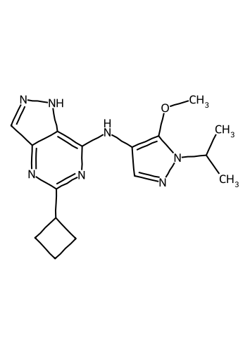 COc1c(Nc2nc(C3CCC3)nc3cn[nH]c23)cnn1C(C)C